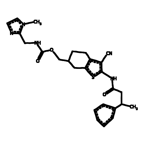 CC(CC(=O)Nc1sc2c(c1C#N)CCC(COC(=O)NCc1nccn1C)C2)c1ccccc1